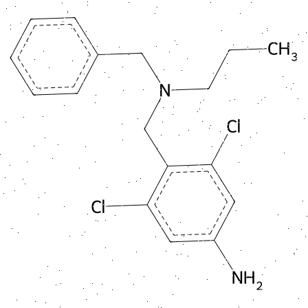 CCCN(Cc1ccccc1)Cc1c(Cl)cc(N)cc1Cl